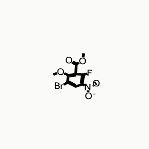 COC(=O)c1c(F)c([N+](=O)[O-])cc(Br)c1OC